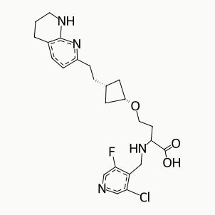 O=C(O)C(CCO[C@H]1C[C@@H](CCc2ccc3c(n2)NCCC3)C1)NCc1c(F)cncc1Cl